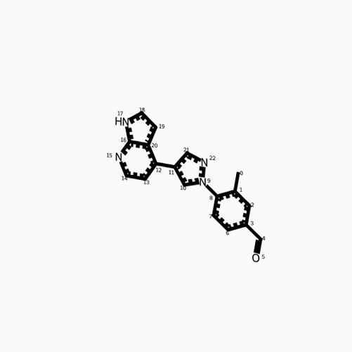 Cc1cc(C=O)ccc1-n1cc(-c2ccnc3[nH]ccc23)cn1